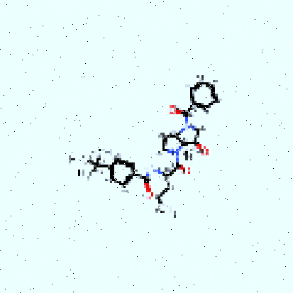 CCC[C@H](NC(=O)c1ccc(C(C)(C)C)cc1)C(=O)N1CCC2[C@H]1C(=O)CN2C(=O)c1ccccc1